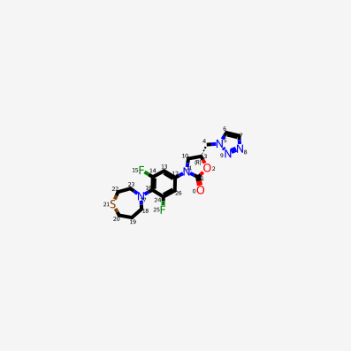 O=C1O[C@@H](Cn2ccnn2)CN1c1cc(F)c(N2CCCSCC2)c(F)c1